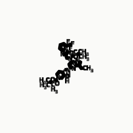 CCc1cnn2c(N(Cc3cn4c(C(F)(F)F)cccc4n3)C(=O)OC(C)(C)C)cc(NC[C@H]3CCN(C(=O)OC(C)(C)C)C[C@@H]3O)nc12